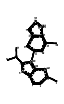 Cc1ccc2nc(C(C)C)n(-c3cc(C)c4[nH]ncc4c3)c2n1